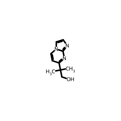 CC(C)(CO)c1ccn2ccnc2n1